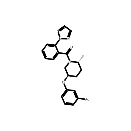 CC(=O)c1cccc(O[C@@H]2CC[C@@H](C)N(C(=O)c3ccccc3-n3nccn3)C2)c1